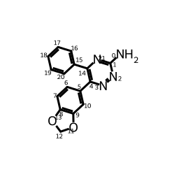 Nc1nnc(-c2ccc3c(c2)OCO3)c(-c2ccccc2)n1